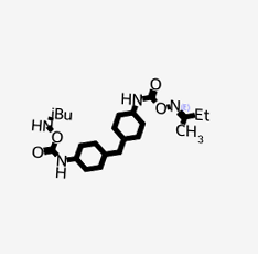 CC/C(C)=N/OC(=O)NC1CCC(CC2CCC(NC(=O)ONC(C)CC)CC2)CC1